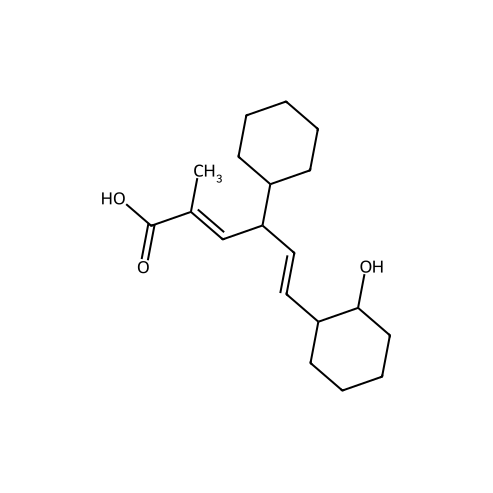 CC(=CC(C=CC1CCCCC1O)C1CCCCC1)C(=O)O